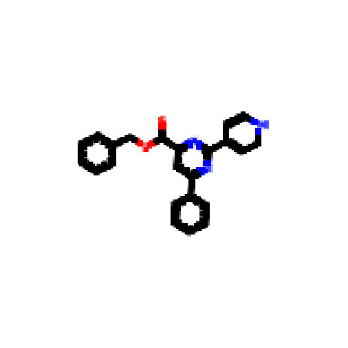 O=C(OCc1ccccc1)c1cc(-c2ccccc2)nc(C2=CCNC=C2)n1